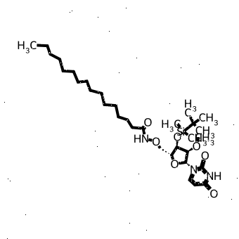 CCCCCCCCCCCCCCCC(=O)NOC[C@H]1O[C@@H](n2ccc(=O)[nH]c2=O)[C@H](OC)[C@@H]1O[Si](C)(C)C(C)(C)C